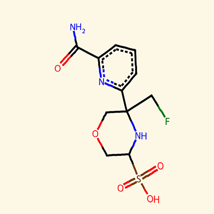 NC(=O)c1cccc(C2(CF)COCC(S(=O)(=O)O)N2)n1